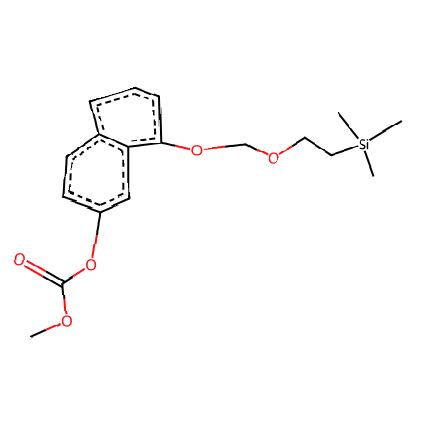 COC(=O)Oc1ccc2cccc(OCOCC[Si](C)(C)C)c2c1